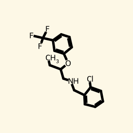 CCC(CNCc1ccccc1Cl)Oc1cccc(C(F)(F)F)c1